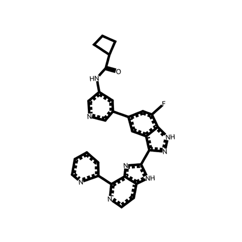 O=C(Nc1cncc(-c2cc(F)c3[nH]nc(-c4nc5c(-c6ccccn6)nccc5[nH]4)c3c2)c1)C1CCC1